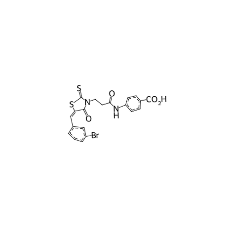 O=C(CCN1C(=O)/C(=C\c2cccc(Br)c2)SC1=S)Nc1ccc(C(=O)O)cc1